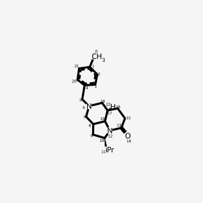 Cc1ccc(CN2CC3C[C@H](C(C)C)N4C(=O)CC[C@H](C2)C34)cc1